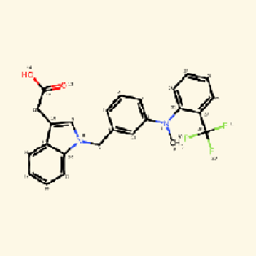 CN(c1cccc(Cn2cc(CC(=O)O)c3ccccc32)c1)c1ccccc1C(F)(F)F